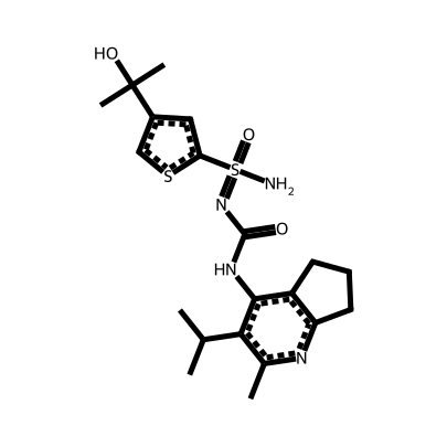 Cc1nc2c(c(NC(=O)N=S(N)(=O)c3cc(C(C)(C)O)cs3)c1C(C)C)CCC2